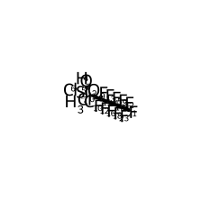 CC(OC(=O)[SiH](Cl)Cl)C(F)(F)C(F)(F)C(F)(F)C(F)(F)C(F)(F)F